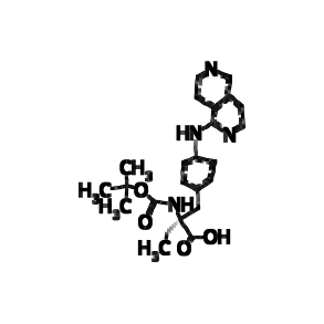 CC[C@@](Cc1ccc(Nc2nccc3cnccc23)cc1)(NC(=O)OC(C)(C)C)C(=O)O